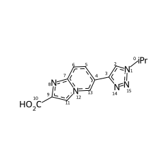 CC(C)n1cc(-c2ccc3nc(C(=O)O)cn3c2)nn1